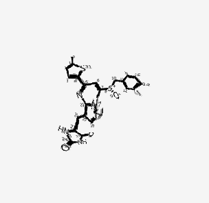 Cc1ccc(-c2cc([S+]([O-])Cc3ccccc3)n3ncc(/C=C4/NC(=O)NC4=O)c3n2)s1